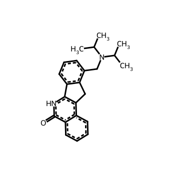 CC(C)N(Cc1cccc2c1Cc1c-2[nH]c(=O)c2ccccc12)C(C)C